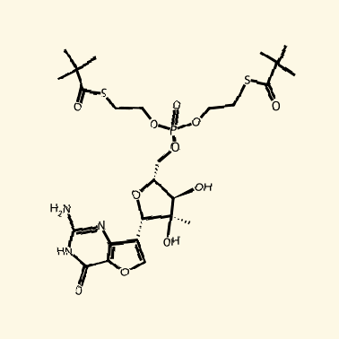 CC(C)(C)C(=O)SCCOP(=O)(OCCSC(=O)C(C)(C)C)OC[C@H]1O[C@@H](c2coc3c(=O)[nH]c(N)nc23)[C@](C)(O)[C@@H]1O